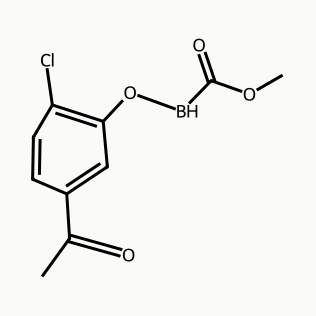 COC(=O)BOc1cc(C(C)=O)ccc1Cl